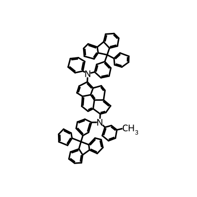 Cc1cccc(N(c2cccc(C3(c4ccccc4)c4ccccc4-c4ccccc43)c2)c2ccc3ccc4c(N(c5ccccc5)c5cccc(C6(c7ccccc7)c7ccccc7-c7ccccc76)c5)ccc5ccc2c3c54)c1